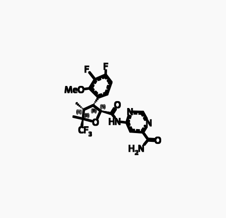 COc1c([C@@H]2[C@@H](C(=O)Nc3cc(C(N)=O)ncn3)O[C@@](C)(C(F)(F)F)[C@@H]2C)ccc(F)c1F